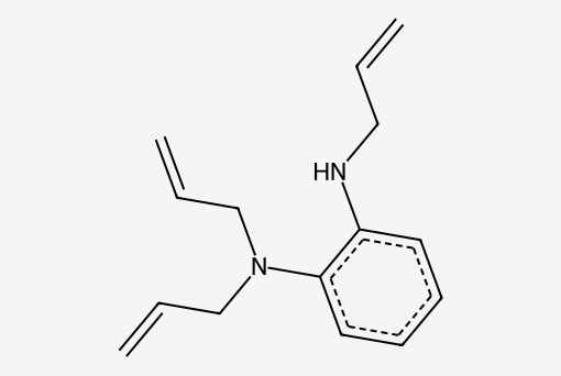 C=CCNc1ccccc1N(CC=C)CC=C